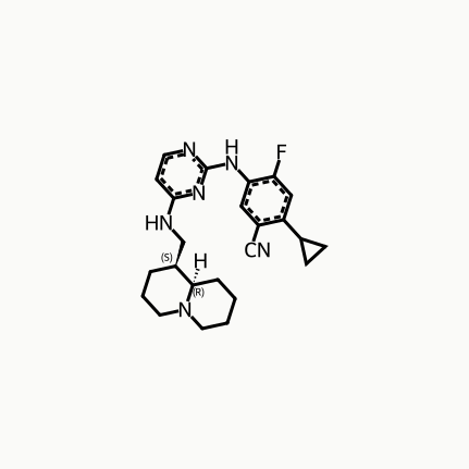 N#Cc1cc(Nc2nccc(NC[C@@H]3CCCN4CCCC[C@H]34)n2)c(F)cc1C1CC1